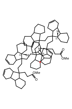 COC(=O)CCC1(CCC2(CCC3(CCC4(CCC5(CCC6(CCC(=O)OC)C7CC=CCC7C7CCCCC76)C6CC=CCC6C6CCCC[C@@H]65)C5CCCCC5C5CC=CC[C@H]54)C4CC=CCC4C4CCCCC43)C3CC=CCC3C3CCCC[C@@H]32)C2CC=CCC2C2CCCCC21